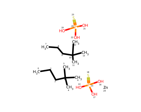 CCCC(C)(C)C.CCCC(C)(C)C.OP(O)(O)=S.OP(O)(O)=S.[Zn]